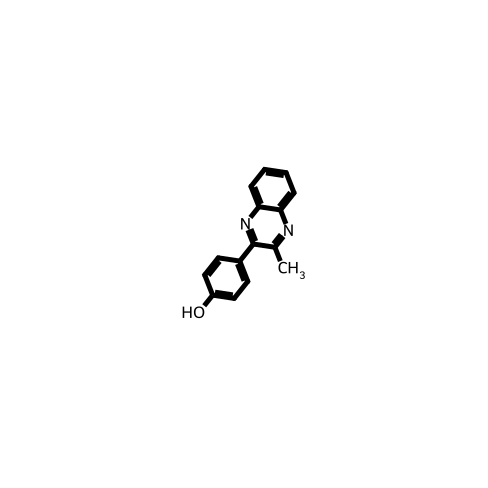 Cc1nc2ccccc2nc1-c1ccc(O)cc1